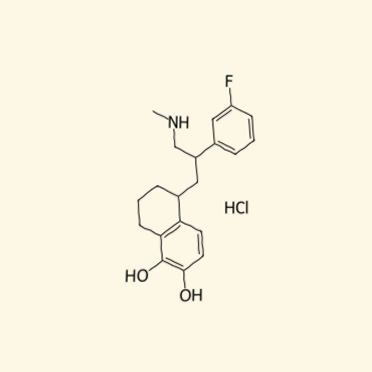 CNCC(CC1CCCc2c1ccc(O)c2O)c1cccc(F)c1.Cl